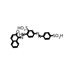 O=C1C=Cc2ccccc2/C1=N/Nc1ccc(N=Nc2ccc(S(=O)(=O)O)cc2)cc1S(=O)(=O)O